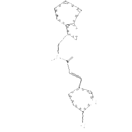 CN(Cc1coc2ccccc12)C(=O)/C=C/c1ccc(N)nc1